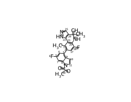 Cc1c(-c2cc(F)cc3c2ccn3S(C)(=O)=O)cc(F)c2c1-c1[nH]ncc1C(C)(C)N2